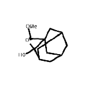 COC(=O)C12CC3CC(CC(C3)C1(C)O)C2